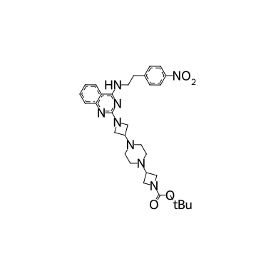 CC(C)(C)OC(=O)N1CC(N2CCN(C3CN(c4nc(NCCc5ccc([N+](=O)[O-])cc5)c5ccccc5n4)C3)CC2)C1